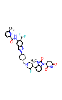 Cn1c(=O)n(C2CCC(=O)NC2=O)c2cccc(C3CCN(C[C@H]4CC[C@H](n5cc6cc(NC(=O)c7cccc(C(F)(F)F)n7)c(C(F)F)cc6n5)CC4)CC3F)c21